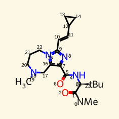 CNC(=O)[C@@H](NC(=O)c1nc(C=CC2CC2)n2c1CN(C)CCC2)C(C)(C)C